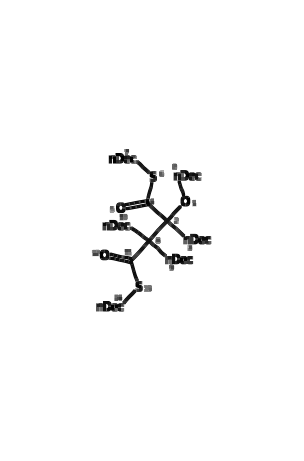 CCCCCCCCCCOC(CCCCCCCCCC)(C(=O)SCCCCCCCCCC)C(CCCCCCCCCC)(CCCCCCCCCC)C(=O)SCCCCCCCCCC